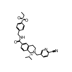 CCS(=O)(=O)c1ccc(CNC(=O)c2ccc3c(c2)CCN(Cc2ccc(C#N)nc2)[C@@H]3C(C)C)cc1